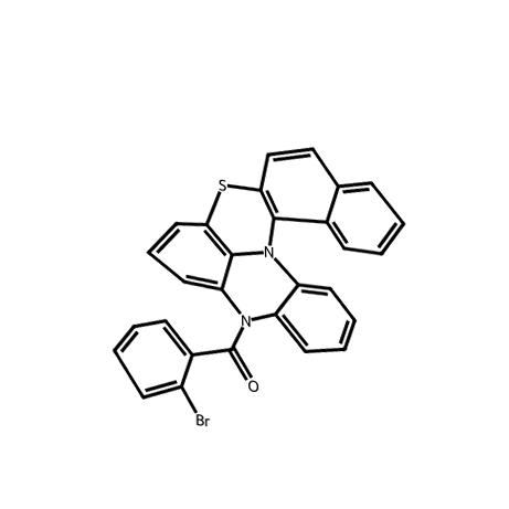 O=C(c1ccccc1Br)N1c2ccccc2N2c3c(cccc31)Sc1ccc3ccccc3c12